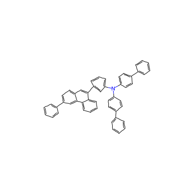 c1ccc(-c2ccc(N(c3ccc(-c4ccccc4)cc3)c3cccc(-c4cc5ccc(-c6ccccc6)cc5c5ccccc45)c3)cc2)cc1